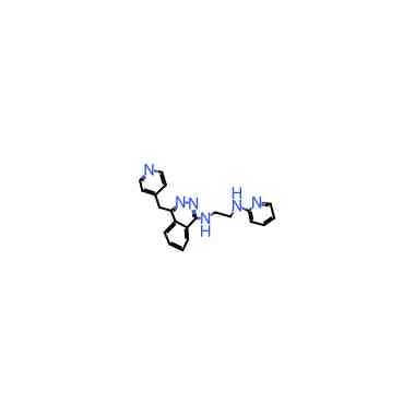 c1ccc(NCCNc2nnc(Cc3ccncc3)c3ccccc23)nc1